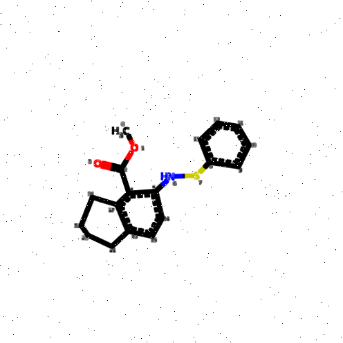 COC(=O)c1c(NSc2ccccc2)ccc2c1CCCC2